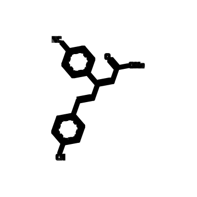 COC(=O)C=C(C=Cc1ccc(C#N)cc1)c1ccc(C#N)cc1